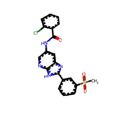 CS(=O)(=O)c1cccc(-c2nc3cc(NC(=O)c4ccccc4Cl)cnc3[nH]2)c1